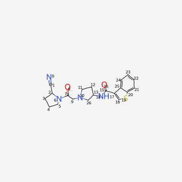 N#CC1CCCN1C(=O)CN1CCC(NC(=O)c2csc3ccccc23)C1